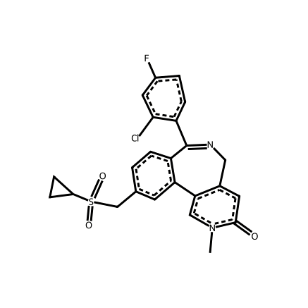 Cn1cc2c(cc1=O)CN=C(c1ccc(F)cc1Cl)c1ccc(CS(=O)(=O)C3CC3)cc1-2